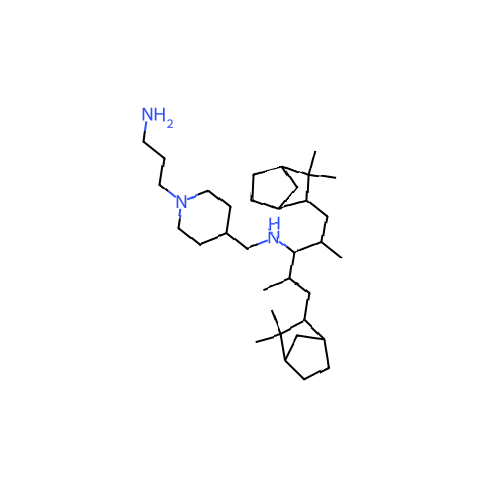 CC(CC1C2CCC(C2)C1(C)C)C(NCC1CCN(CCCN)CC1)C(C)CC1C2CCC(C2)C1(C)C